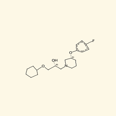 O[C@@H](COC1CCCCC1)CN1CCC[C@@H](Oc2ccc(F)cc2)C1